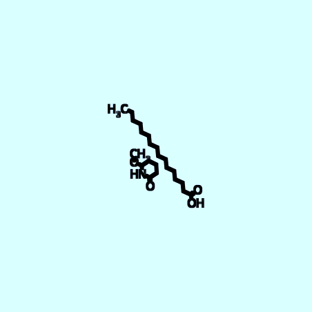 CCCCCCCCCCCCCCCC(=O)O.COC1CCCC(=O)N1